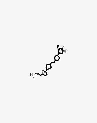 CCCC1CCC(C2CCC(CCC3CCC(c4cc(F)c(F)c(F)c4)CC3)CC2)O1